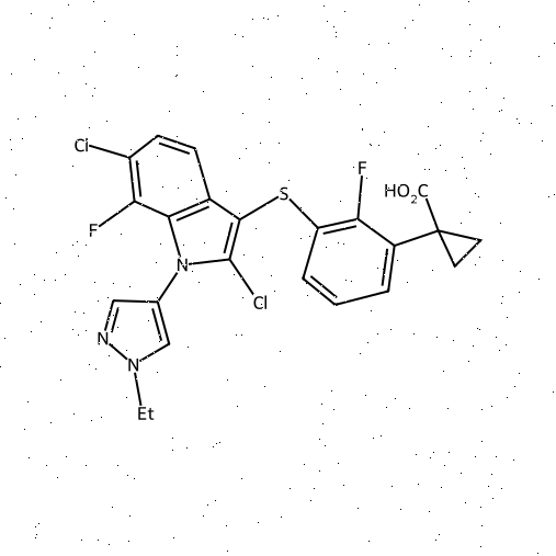 CCn1cc(-n2c(Cl)c(Sc3cccc(C4(C(=O)O)CC4)c3F)c3ccc(Cl)c(F)c32)cn1